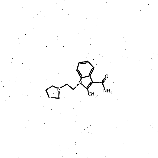 Cc1c(C(N)=O)c2c[c]ccc2n1CCN1CCCC1